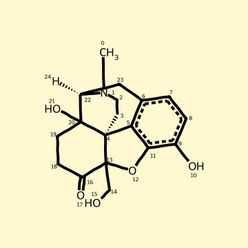 CN1CC[C@]23c4c5ccc(O)c4OC2(CO)C(=O)CCC3(O)[C@H]1C5